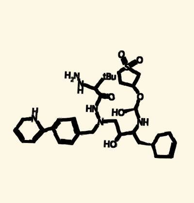 CC(C)(C)C(NN)C(=O)NN(Cc1ccc(C2=CC=CCN2)cc1)CC(O)C(C[C@@H]1CC=CCC1)N[C@@H](O)OC1CCS(=O)(=O)C1